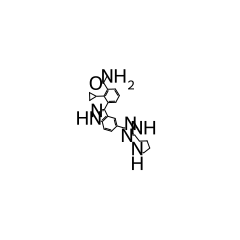 NC(=O)c1cccc(-c2n[nH]c3ccc(-c4n[nH]c(C5CCCN5)n4)cc23)c1C1CC1